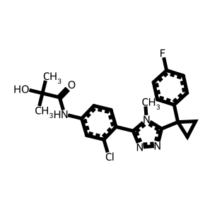 Cn1c(-c2ccc(NC(=O)C(C)(C)O)cc2Cl)nnc1C1(c2ccc(F)cc2)CC1